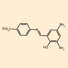 Bc1cc(B)c(O)c(/C=N/c2ccc(C(=O)OCC)cc2)c1